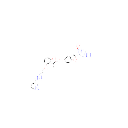 Cc1c(COc2ccc3oc(C4CNCCN4C=O)cc3c2)oc2cccc(OCCCNCc3cccnc3)c12